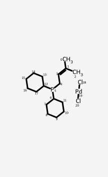 CC(C)=CCP(C1CCCCC1)C1CCCCC1.[Cl][Pd][Cl]